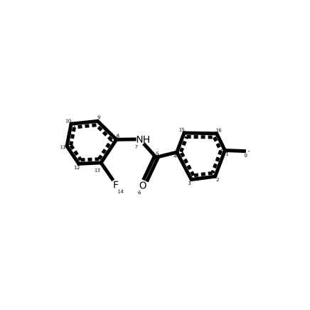 [CH2]c1ccc(C(=O)Nc2ccccc2F)cc1